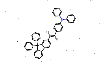 [2H]/C(=C(/[2H])c1ccc2c(c1)C(c1ccccc1)(c1ccccc1)c1ccccc1-2)c1ccc(N(c2ccccc2)c2ccccc2)cc1